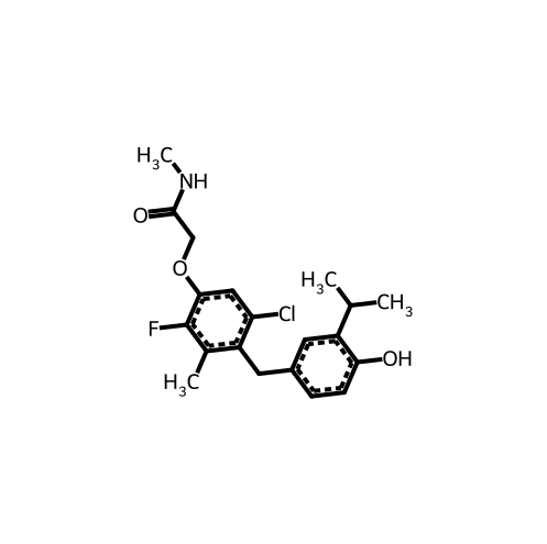 CNC(=O)COc1cc(Cl)c(Cc2ccc(O)c(C(C)C)c2)c(C)c1F